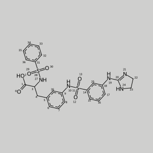 O=C(O)C(Cc1cccc(NS(=O)(=O)c2cccc(NC3=NCCN3)c2)c1)NS(=O)(=O)c1ccccc1